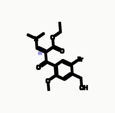 CCOC(=O)/C(=C\N(C)C)C(=O)c1cc(Br)c(CO)cc1OC